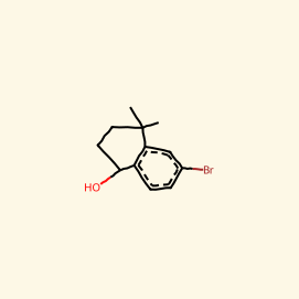 CC1(C)CCC(O)c2ccc(Br)cc21